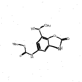 CC(C)(C)OC(=O)Nc1cc(B(O)O)c2oc(=O)[nH]c2c1